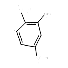 CCCc1cc(S(=O)(=O)O)ccc1S(=O)(=O)O